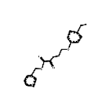 CCc1ccc(OCCCC(=O)C(=O)OCc2ccccc2)cc1